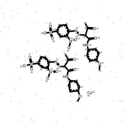 COc1ccc(NC(=O)C(N=Nc2ccc(S(=O)(=O)[O-])cc2[N+](=O)[O-])C(C)=O)cc1.COc1ccc(NC(=O)C(N=Nc2ccc(S(=O)(=O)[O-])cc2[N+](=O)[O-])C(C)=O)cc1.[Ca+2]